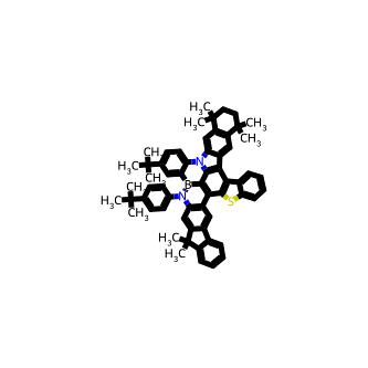 CC(C)(C)c1ccc(N2B3c4cc(C(C)(C)C)ccc4-n4c5cc6c(cc5c5c7c(sc8ccccc87)c(c3c54)-c3cc4c(cc32)C(C)(C)c2ccccc2-4)C(C)(C)CCC6(C)C)cc1